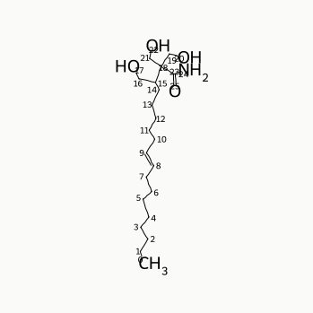 CCCCCCCCC=CCCCCCC(CO)C(CO)(CO)C(N)=O